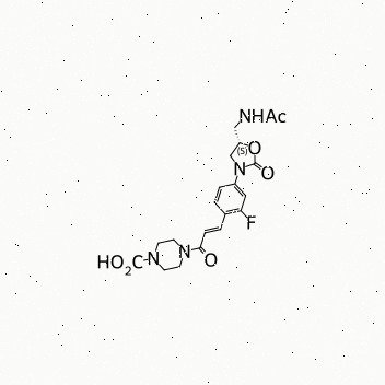 CC(=O)NC[C@H]1CN(c2ccc(C=CC(=O)N3CCN(C(=O)O)CC3)c(F)c2)C(=O)O1